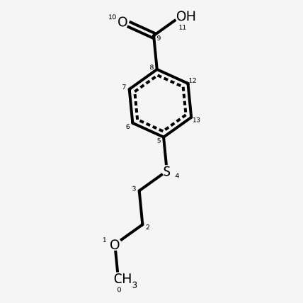 COCCSc1ccc(C(=O)O)cc1